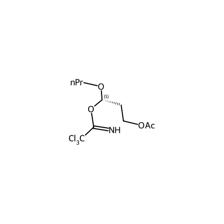 CCCO[C@H](CCOC(C)=O)OC(=N)C(Cl)(Cl)Cl